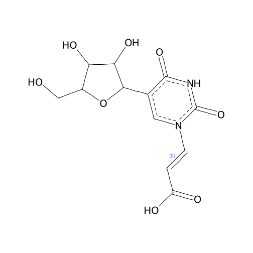 O=C(O)/C=C/n1cc(C2OC(CO)C(O)C2O)c(=O)[nH]c1=O